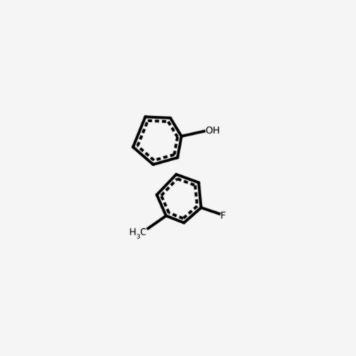 Cc1cccc(F)c1.Oc1ccccc1